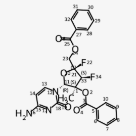 C[C@]1(OC(=O)c2ccccc2)[C@H](n2ccc(N)nc2=O)O[C@](F)(COC(=O)c2ccccc2)[C@H]1F